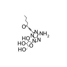 CCCCC(=O)C#Cc1nc(N)c2ncn([C@@H]3O[C@H](CO)C(O)C3O)c2n1